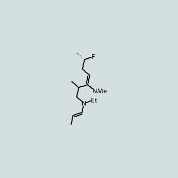 C/C=C/N(CC)CC(C)/C(=C\C[C@H](C)F)NC